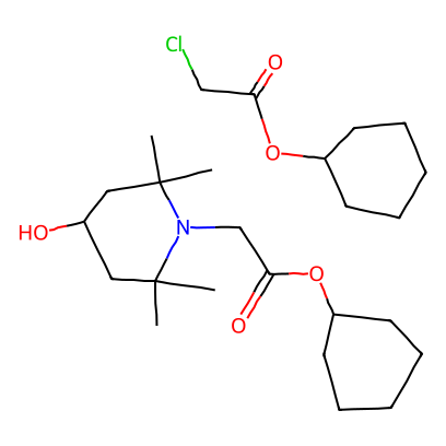 CC1(C)CC(O)CC(C)(C)N1CC(=O)OC1CCCCC1.O=C(CCl)OC1CCCCC1